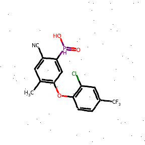 Cc1cc(C#N)c([PH](=O)O)cc1Oc1ccc(C(F)(F)F)cc1Cl